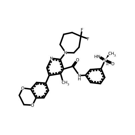 Cc1c(-c2ccc3c(c2)OCCO3)cnc(N2CCCC(F)(F)CC2)c1C(=O)Nc1cccc([S@](C)(=N)=O)c1